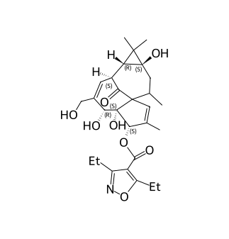 CCc1noc(CC)c1C(=O)O[C@H]1C(C)=CC23C(=O)[C@@H](C=C(CO)[C@@H](O)[C@]12O)[C@@H]1C(C)(C)[C@]1(O)CC3C